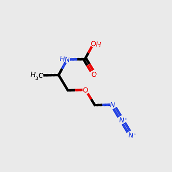 CC(COCN=[N+]=[N-])NC(=O)O